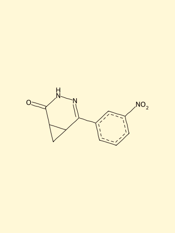 O=C1NN=C(c2cccc([N+](=O)[O-])c2)C2CC12